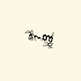 C[SH]1C[C@@H](O)[C@@H](O)[C@@H](O)[C@@H]1c1ccc(Cl)c(Cc2ccc(OCCCC(=O)NC(CO)(CO)CO)cc2)c1